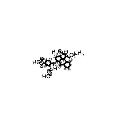 CCOC(=O)c1c2c3c(c(Nc4ccc(S(=O)(=O)O)cc4SOOO)ccc3n(C)c1=O)C(=O)c1ccccc1-2